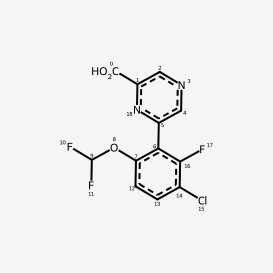 O=C(O)c1cncc(-c2c(OC(F)F)ccc(Cl)c2F)n1